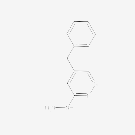 NNc1cc(Cc2ccccc2)cnn1